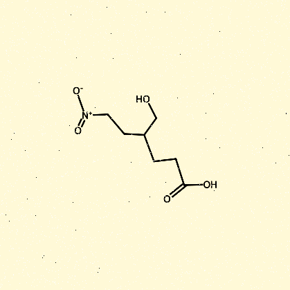 O=C(O)CCC(CO)CC[N+](=O)[O-]